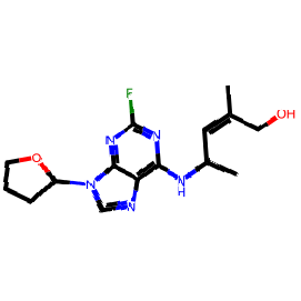 C/C(=C/C(C)Nc1nc(F)nc2c1ncn2C1CCCO1)CO